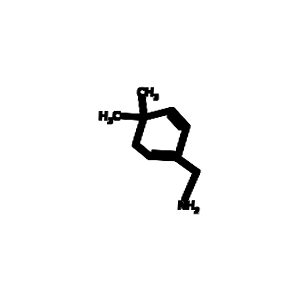 CC1(C)C=CC(CN)=CC1